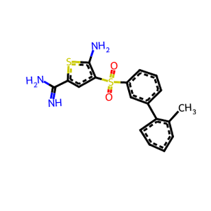 Cc1ccccc1-c1cccc(S(=O)(=O)c2cc(C(=N)N)sc2N)c1